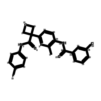 Cc1nc(C2(C(=O)Nc3ccc(F)cc3)COC2)ccc1NC(=O)c1cccc(Cl)c1